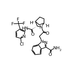 NC(=O)c1nn(CC(=O)N2[C@@H]3CC[C@@H](C3)[C@H]2C(=O)Nc2nc(Cl)ccc2C(F)(F)F)c2ccccc12